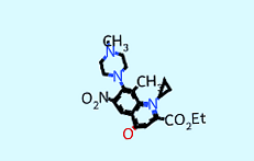 CCOC(=O)c1cc(=O)c2cc([N+](=O)[O-])c(N3CCN(C)CC3)c(C)c2n1C1CC1